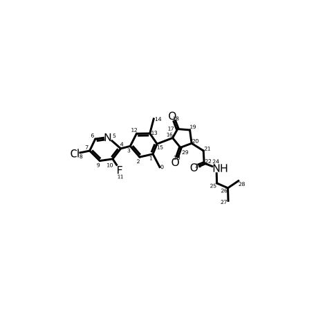 Cc1cc(-c2ncc(Cl)cc2F)cc(C)c1C1C(=O)CC(CC(=O)NCC(C)C)C1=O